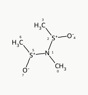 CN([S+](C)[O-])[S+](C)[O-]